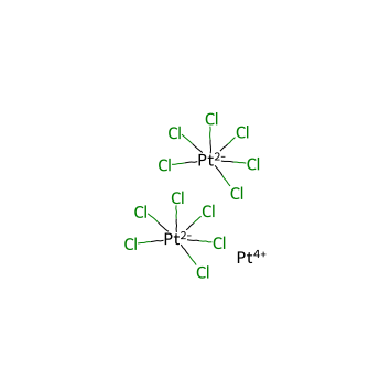 [Cl][Pt-2]([Cl])([Cl])([Cl])([Cl])[Cl].[Cl][Pt-2]([Cl])([Cl])([Cl])([Cl])[Cl].[Pt+4]